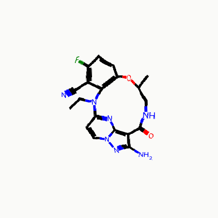 CCN1c2ccn3nc(N)c(c3n2)C(=O)NCC(C)Oc2ccc(F)c(C#N)c21